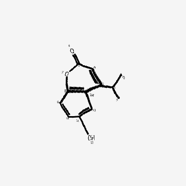 CC(C)c1cc(=O)oc2ccc(O)cc12